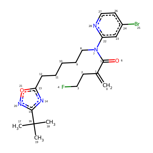 C=C(CCF)C(=O)N(CCCCCc1nc(C(C)(C)C)no1)c1cc(Br)ccn1